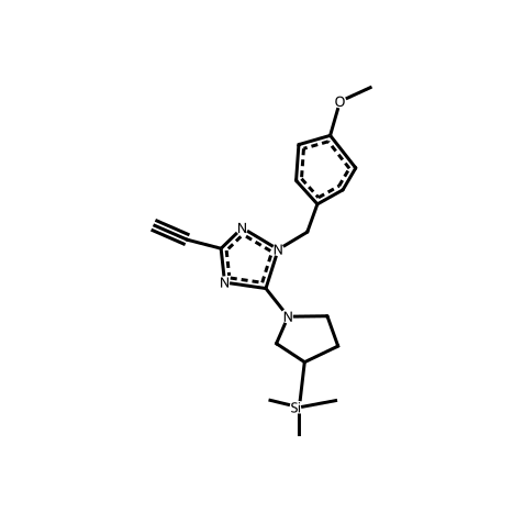 C#Cc1nc(N2CCC([Si](C)(C)C)C2)n(Cc2ccc(OC)cc2)n1